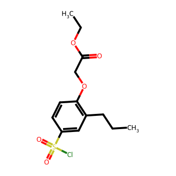 CCCc1cc(S(=O)(=O)Cl)ccc1OCC(=O)OCC